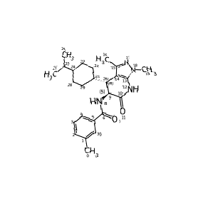 Cc1cccc(C(=O)N[C@@H]2C(=O)Nc3c(c(C)nn3C)[C@H]2C2CCC(C(C)C)CC2)c1